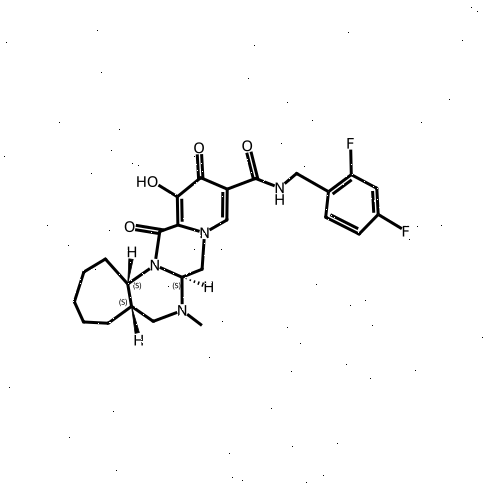 CN1C[C@@H]2CCCCC[C@@H]2N2C(=O)c3c(O)c(=O)c(C(=O)NCc4ccc(F)cc4F)cn3C[C@@H]12